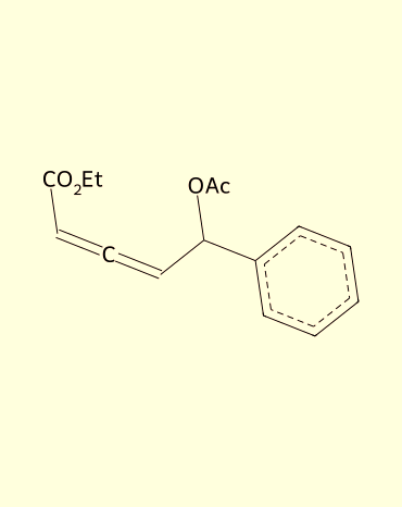 CCOC(=O)C=C=CC(OC(C)=O)c1ccccc1